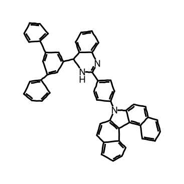 c1ccc(-c2cc(-c3ccccc3)cc(C3NC(c4ccc(-n5c6ccc7ccccc7c6c6c7ccccc7ccc65)cc4)=Nc4ccccc43)c2)cc1